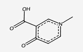 Cn1ccc(=O)c(C(=O)O)c1